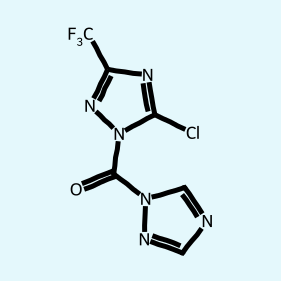 O=C(n1cncn1)n1nc(C(F)(F)F)nc1Cl